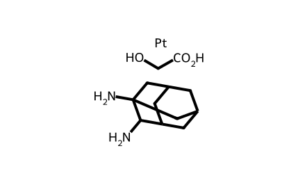 NC1C2CC3CC(C2)CC1(N)C3.O=C(O)CO.[Pt]